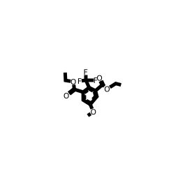 CCOC(=O)c1cc(OC)cc(C(=O)OCC)c1C(F)(F)F